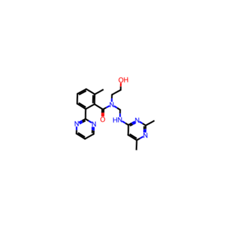 Cc1cc(NCN(CCO)C(=O)c2c(C)cccc2-c2ncccn2)nc(C)n1